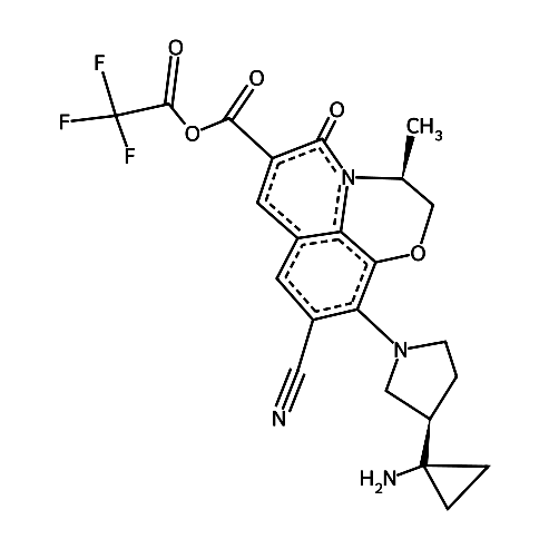 C[C@H]1COc2c(N3CC[C@@H](C4(N)CC4)C3)c(C#N)cc3cc(C(=O)OC(=O)C(F)(F)F)c(=O)n1c23